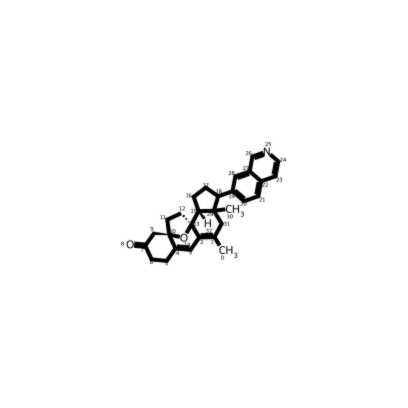 CC1=C2C=C3CCC(=O)C[C@]34CC[C@]2(O4)[C@@H]2CCC(c3ccc4ccncc4c3)C2(C)C1